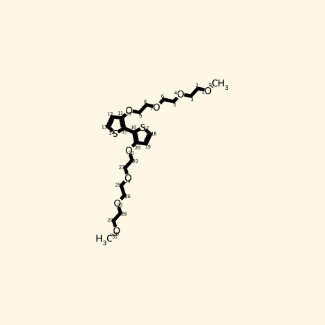 COCCOCCOCCOc1ccsc1-c1sccc1OCCOCCOCCOC